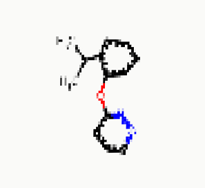 CC(C)c1ccccc1Oc1cccnn1